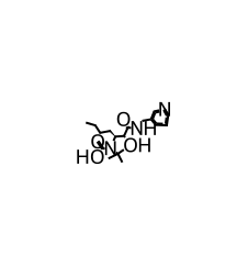 CCCC[C@@H]([C@H](O)C(=O)NCc1cccnc1)N(C(=O)O)C(C)(C)C